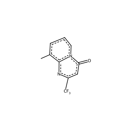 Cc1cccn2c(=O)cc(C(F)(F)F)nc12